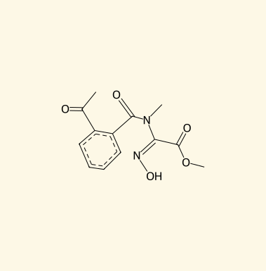 COC(=O)C(=NO)N(C)C(=O)c1ccccc1C(C)=O